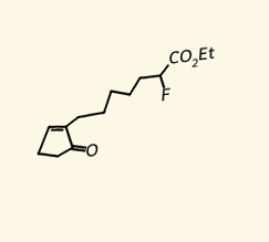 CCOC(=O)C(F)CCCCCC1=CCCC1=O